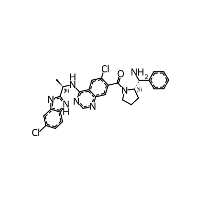 C[C@@H](Nc1ncnc2cc(C(=O)N3CCC[C@H]3C(N)c3ccccc3)c(Cl)cc12)c1nc2cc(Cl)ccc2[nH]1